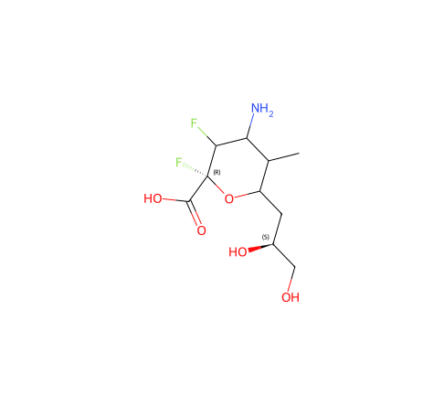 CC1C(C[C@H](O)CO)O[C@@](F)(C(=O)O)C(F)C1N